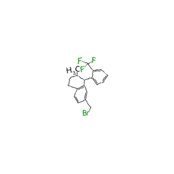 CC1CCc2ccc(CBr)cc2C1c1ccccc1C(F)(F)F